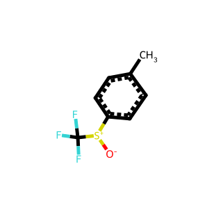 Cc1ccc([S+]([O-])C(F)(F)F)cc1